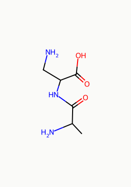 CC(N)C(=O)NC(CN)C(=O)O